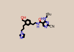 CC(C)(C)CNc1nc(C#N)ncc1C(=O)NCCc1ccc(CO)c(CCCn2ccnc2)c1